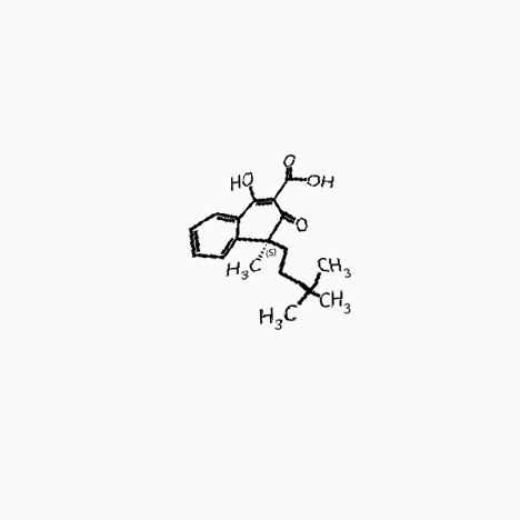 CC(C)(C)CC[C@]1(C)C(=O)C(C(=O)O)=C(O)c2ccccc21